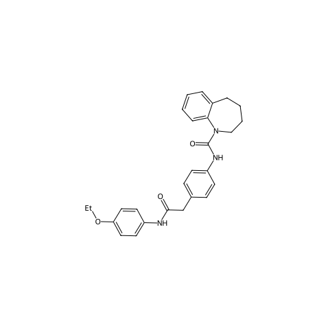 CCOc1ccc(NC(=O)Cc2ccc(NC(=O)N3CCCCc4ccccc43)cc2)cc1